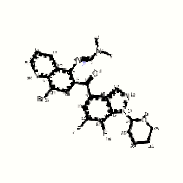 CN(C)/C=N/c1c(C(=O)c2cc(F)c(F)c3c2cnn3C2CCCCO2)cc(Br)c2ncccc12